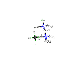 CCCCCCCC[N+](C)(CCCCCCCC)CCCCCCCC.CCCCCCCC[N+](C)(CCCCCCCC)CCCCCCCC.F[B-](F)(F)F.[Cl-]